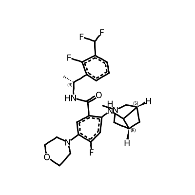 C[C@@H](NC(=O)c1cc(N2CCOCC2)c(F)cc1NC1[C@@H]2C[C@H]1CN(C)C2)c1cccc(C(F)F)c1F